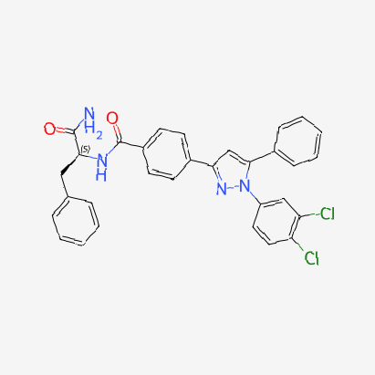 NC(=O)[C@H](Cc1ccccc1)NC(=O)c1ccc(-c2cc(-c3ccccc3)n(-c3ccc(Cl)c(Cl)c3)n2)cc1